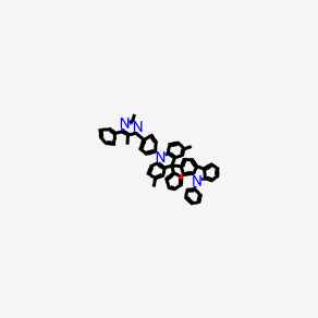 Cc1ccc2c(c1)C(c1ccccc1)(c1ccc3c4ccccc4n(-c4ccccc4)c3c1)c1cc(C)ccc1N2c1ccc(-c2nc(C)nc(-c3ccccc3)c2C)cc1